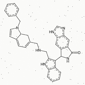 O=C1NC(c2c(CNCC3=CC=C4C=CN(Cc5ccccc5)C4C3)[nH]c3ccccc23)c2cc3[nH]cnc3cc21